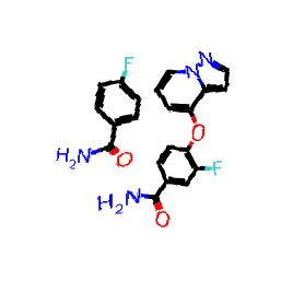 NC(=O)c1ccc(F)cc1.NC(=O)c1ccc(Oc2cccn3nccc23)c(F)c1